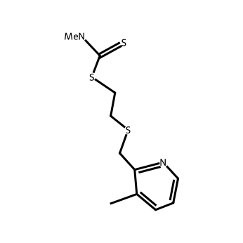 CNC(=S)SCCSCc1ncccc1C